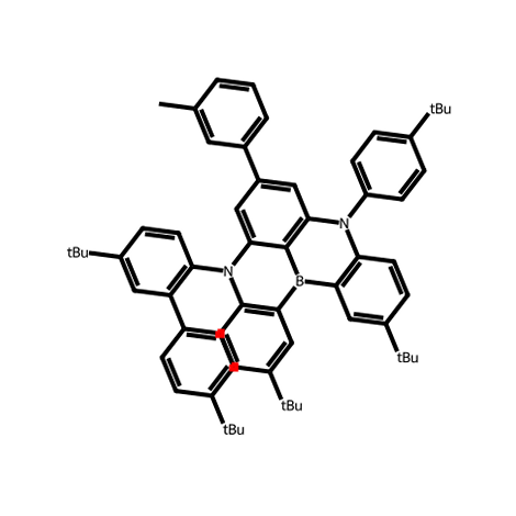 Cc1cccc(-c2cc3c4c(c2)N(c2ccc(C(C)(C)C)cc2-c2ccc(C(C)(C)C)cc2)c2ccc(C(C)(C)C)cc2B4c2cc(C(C)(C)C)ccc2N3c2ccc(C(C)(C)C)cc2)c1